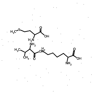 CC(C)C(N)C(=O)O.CSCCC(N)C(=O)O.NCCCCC(N)C(=O)O